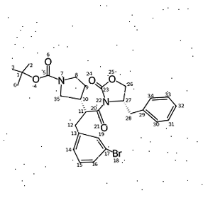 CC(C)(C)OC(=O)N1CC[C@H](C(Cc2cccc(Br)c2)C(=O)N2C(=O)OC[C@@H]2Cc2ccccc2)C1